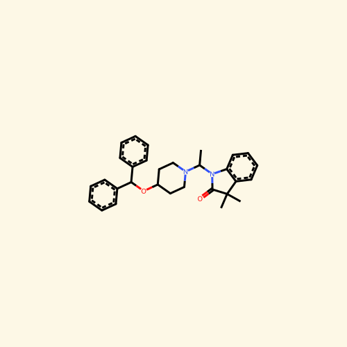 CC(N1CCC(OC(c2ccccc2)c2ccccc2)CC1)N1C(=O)C(C)(C)c2ccccc21